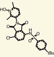 Cc1ccc(N2C(=O)c3c(Cl)ccc(NS(=O)(=O)c4ccc(C(C)(C)C)cc4)c3C2=O)c(C)[n+]1O